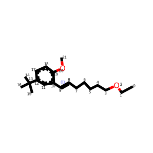 CCOCCCCC/C=C/c1cc(C(C)(C)C)ccc1OC